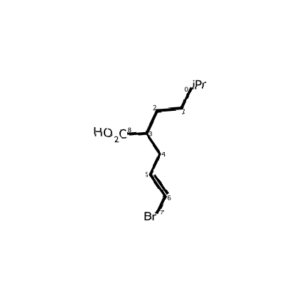 CC(C)CCC(CC=CBr)C(=O)O